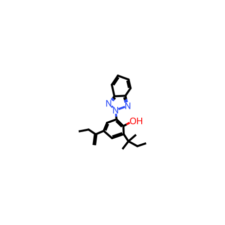 C=C(CC)c1cc(-n2nc3ccccc3n2)c(O)c(C(C)(C)CC)c1